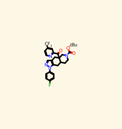 CC(C)(C)OC(=O)N1CCC2Cc3c(cnn3-c3ccc(F)cc3)CC2(C(=O)c2cc(C(F)(F)F)ccn2)C1